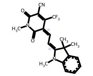 CN1C(=O)C(C#N)=C(C(F)(F)F)/C(=C/C=C2/N(C)c3ccccc3C2(C)C)C1=O